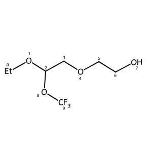 CCOC(COCCO)OC(F)(F)F